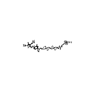 CCN(CCOCCOCCOCCOCC[N+](C)(C)CCCCS(=O)(=O)O)c1ccc(/N=N/c2sc(C#N)c(C)c2C#N)c(C)c1